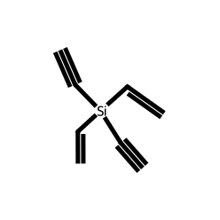 C#C[Si](C#C)(C=C)C=C